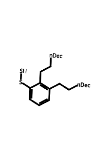 CCCCCCCCCCCCc1cccc(SS)c1CCCCCCCCCCCC